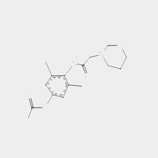 CC(=O)Oc1cc(C)c(NC(=O)CN2CCCOC2)c(C)c1